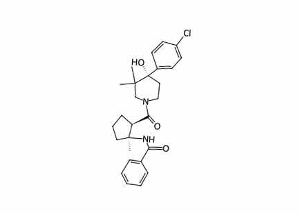 CC1(C)CN(C(=O)[C@@H]2CCC[C@]2(C)NC(=O)c2ccccc2)CC[C@]1(O)c1ccc(Cl)cc1